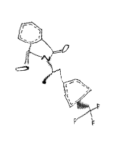 C[C@H](Cc1ccc(C(F)(F)F)cc1)N1C(=O)c2ccccc2C1=O